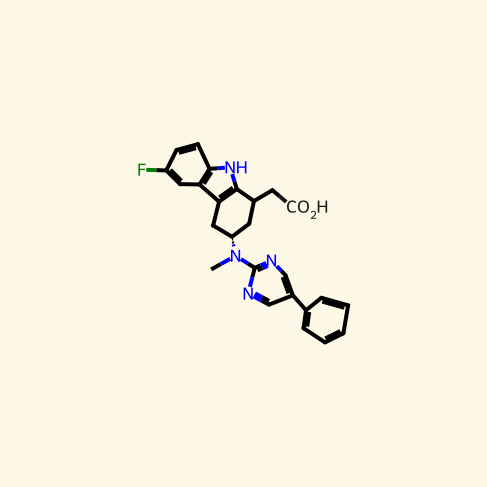 CN(c1ncc(-c2ccccc2)cn1)[C@@H]1Cc2c([nH]c3ccc(F)cc23)C(CC(=O)O)C1